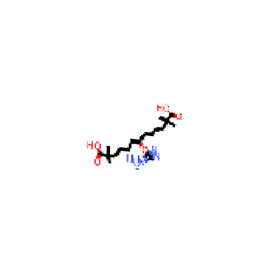 CC(C)(CCCCC(=O)CCCCC(C)(C)C(=O)O)C(=O)O.N#CN.N#CN